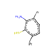 CC(C)c1ccc(C(C)C)c(S)c1N